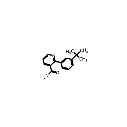 CC(C)(C)c1cccc(-c2ncccc2C(N)=O)c1